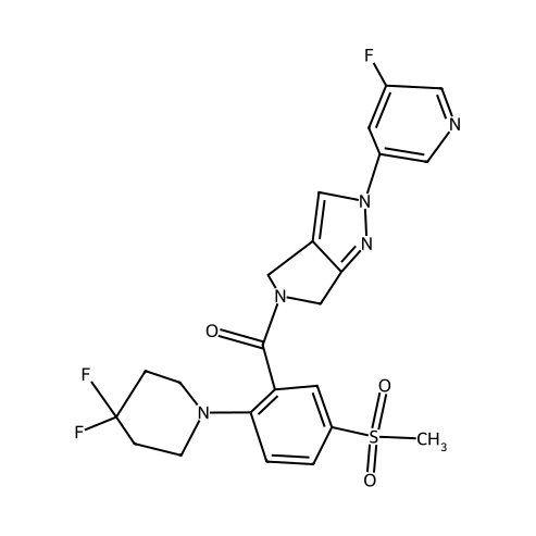 CS(=O)(=O)c1ccc(N2CCC(F)(F)CC2)c(C(=O)N2Cc3cn(-c4cncc(F)c4)nc3C2)c1